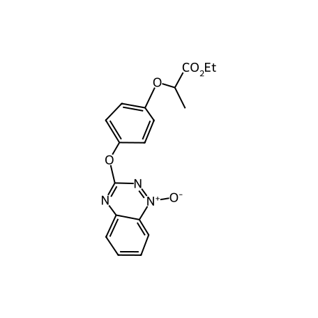 CCOC(=O)C(C)Oc1ccc(Oc2nc3ccccc3[n+]([O-])n2)cc1